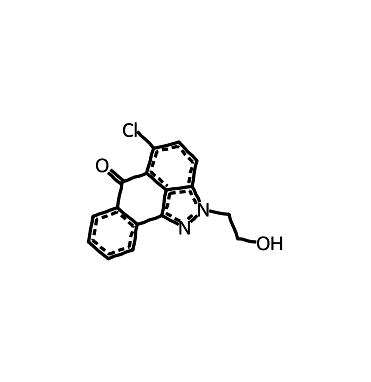 O=C1c2ccccc2-c2nn(CCO)c3ccc(Cl)c1c23